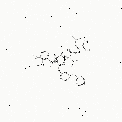 COc1ccc(C[C@H](NC(=O)Cc2cccc(Oc3ccccc3)c2)C(=O)N[C@H](C(=O)N[C@@H](CC(C)C)B(O)O)C(C)C)c(OC)c1OC